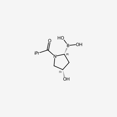 CC(C)C(=O)N1C[C@@H](O)C[C@H]1B(O)O